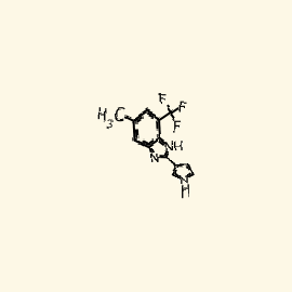 Cc1cc(C(F)(F)F)c2[nH]c(-c3cc[nH]c3)nc2c1